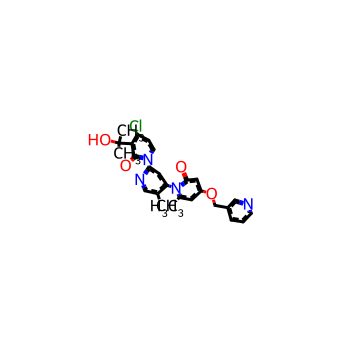 Cc1cnc(-n2ccc(Cl)c(C(C)(C)O)c2=O)cc1-n1c(C)cc(OCc2cccnc2)cc1=O